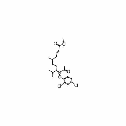 C=C(C)C(CCC(C)C/C=C/C(=O)OC)N(Oc1ccc(Cl)cc1Cl)C(C)=O